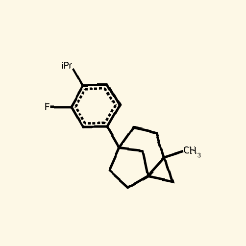 CC(C)c1ccc(C23CCC4(C)CC4(CC2)C3)cc1F